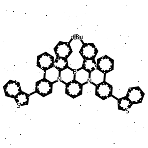 CC(C)(C)c1ccc2sc3c(c2c1)B1c2c(cccc2N(c2ccc(-c4csc5ccccc45)cc2-c2ccccc2)c2sc4ccc(C(C)(C)C)cc4c21)N3c1ccc(-c2csc3ccccc23)cc1-c1ccccc1